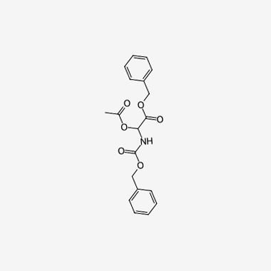 CC(=O)OC(NC(=O)OCc1ccccc1)C(=O)OCc1ccccc1